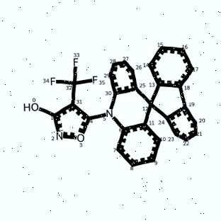 Oc1noc(N2c3ccccc3C3(c4ccccc4-c4ccccc43)c3ccccc32)c1C(F)(F)F